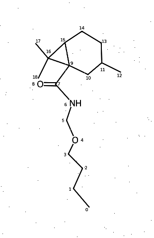 CCCCOCNC(=O)C12CC(C)CCC1C2(C)C